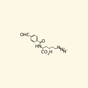 [N-]=[N+]=NCCCCC(NC(=O)c1ccc(C=O)cc1)C(=O)O